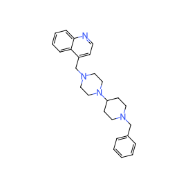 c1ccc(CN2CCC(N3CCN(Cc4ccnc5ccccc45)CC3)CC2)cc1